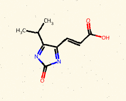 CC(C)C1=NC(=O)N=C1C=CC(=O)O